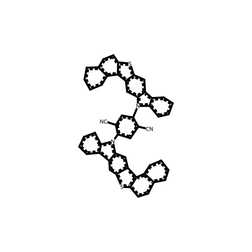 N#Cc1cc(-n2c3ccccc3c3cc4sc5ccc6ccccc6c5c4cc32)c(C#N)cc1-n1c2ccccc2c2cc3sc4ccc5ccccc5c4c3cc21